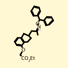 CCOC(=O)COc1cccc2c1CCC(C/C(C)=N\OC(c1ccccc1)c1ccccc1)C2